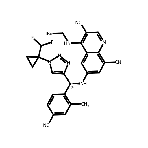 Cc1cc(C#N)ccc1[C@H](Nc1cc(C#N)c2ncc(C#N)c(NCC(C)(C)C)c2c1)c1cn(C2(C(F)F)CC2)nn1